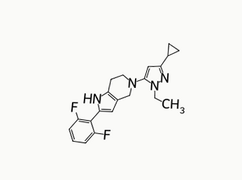 CCn1nc(C2CC2)cc1N1CCc2[nH]c(-c3c(F)cccc3F)cc2C1